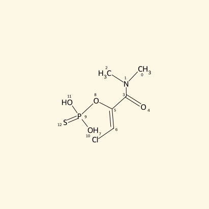 CN(C)C(=O)C(=CCl)OP(O)(O)=S